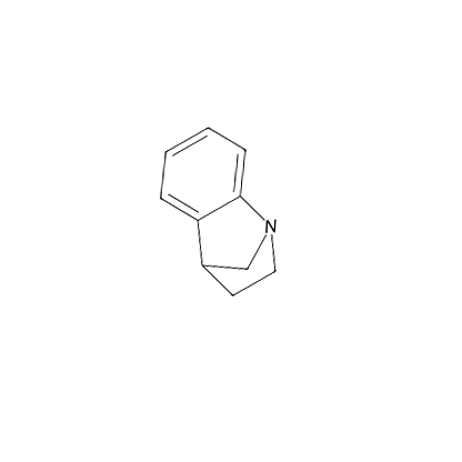 c1ccc2c(c1)C1CCN2C1